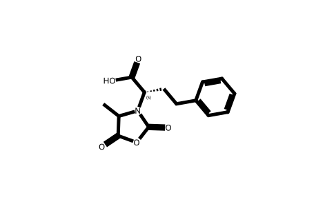 CC1C(=O)OC(=O)N1[C@@H](CCc1ccccc1)C(=O)O